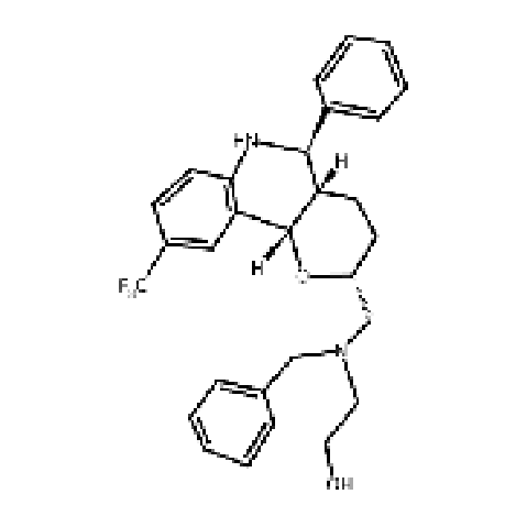 OCCN(Cc1ccccc1)C[C@H]1CC[C@@H]2[C@H](O1)c1cc(C(F)(F)F)ccc1N[C@H]2c1ccccc1